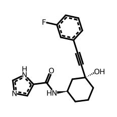 O=C(N[C@@H]1CCC[C@](O)(C#Cc2cccc(F)c2)C1)c1cnc[nH]1